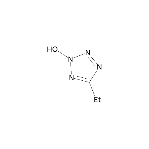 CCc1nnn(O)n1